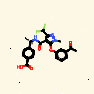 CC(=O)c1cccc(Oc2c(C(=O)N[C@@H](C)c3ccc(C(=O)O)cc3)c(C(F)F)nn2C)c1